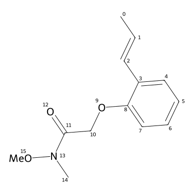 CC=Cc1ccccc1OCC(=O)N(C)OC